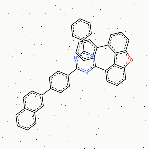 c1ccc(-c2nc(-c3ccc(-c4ccc5ccccc5c4)cc3)nc(-c3cccc4oc5cccc(-c6ccccc6)c5c34)n2)cc1